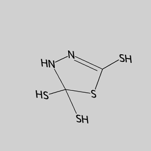 SC1=NNC(S)(S)S1